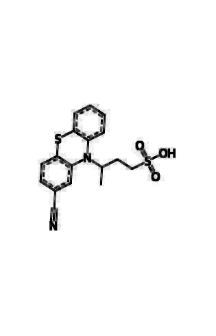 CC(CCS(=O)(=O)O)N1c2ccccc2Sc2ccc(C#N)cc21